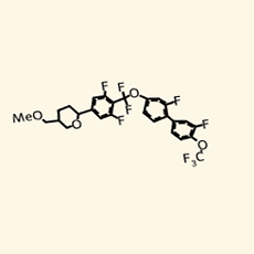 COCC1CCC(c2cc(F)c(C(F)(F)Oc3ccc(-c4ccc(OC(F)(F)F)c(F)c4)c(F)c3)c(F)c2)OC1